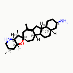 CC1=C2C[C@H]3C(CC[C@@H]4C[C@H](N)CC[C@@]43C)[C@@H]2CC[C@@]2(C1)O[C@@H]1C[C@H](C)CN[C@H]1[C@H]2C